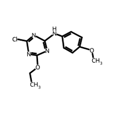 CCOc1nc(Cl)nc(Nc2ccc(OC)cc2)n1